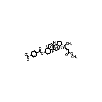 COC(=O)CCC(C)[C@H]1CC[C@H]2[C@@H]3CC[C@@H]4C[C@@H](OC(=O)c5ccc([N+](=O)[O-])cc5)CC[C@]4(C)[C@H]3CC[C@]12C